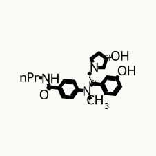 CCCNC(=O)c1ccc(N(C)[C@H](CN2CC[C@H](O)C2)c2cccc(O)c2)cc1